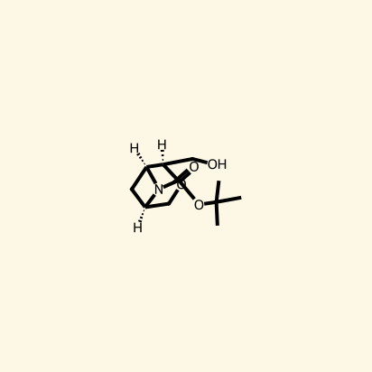 CC(C)(C)OC(=O)N1[C@H]2CO[C@H](CO)[C@@H]1C2